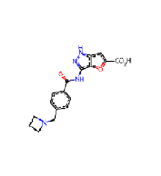 O=C(Nc1n[nH]c2cc(C(=O)O)oc12)c1ccc(CN2CCC2)cc1